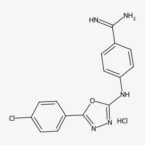 Cl.N=C(N)c1ccc(Nc2nnc(-c3ccc(Cl)cc3)o2)cc1